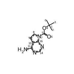 CC(C)(C)OC(=O)n1ccc2c(N)ncnc21